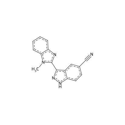 Cn1c(-c2n[nH]c3ccc(C#N)cc23)nc2ccccc21